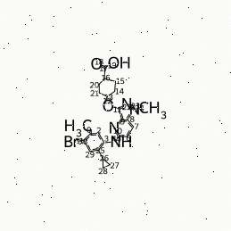 Cc1cc(Nc2ccc3c(n2)c(O[C@H]2CC[C@H](C(=O)O)CC2)nn3C)c(C2CC2)cc1Br